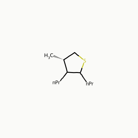 CCCC1SC[C@@H](C)C1CCC